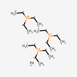 CCP(CC)CC.CCP(CC)CC.CCP(CC)CC.[Pd]